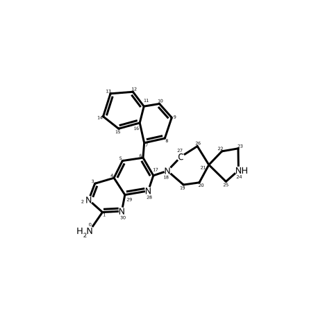 Nc1ncc2cc(-c3cccc4ccccc34)c(N3CCC4(CCNC4)CC3)nc2n1